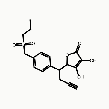 C#CCC(c1ccc(CS(=O)(=O)CCC)cc1)C1OC(=O)C(O)=C1O